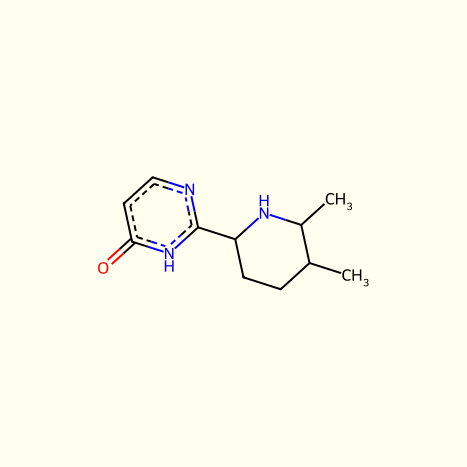 CC1CCC(c2nccc(=O)[nH]2)NC1C